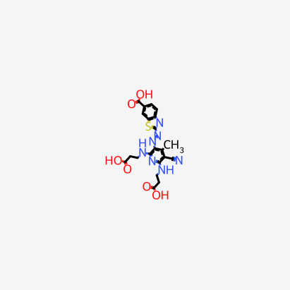 Cc1c(C#N)c(NCCC(=O)O)nc(NCCC(=O)O)c1N=Nc1nc2ccc(C(=O)O)cc2s1